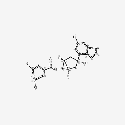 O=C(N[C@@H]1[C@@H]2C[C@@](O)(c3cc(Cl)cn4cncc34)C[C@@H]21)c1cc(F)cc(Cl)c1